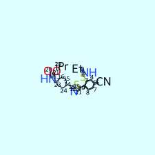 CCNSc1cc(C#N)ccc1-c1cnc(C2CCC(NC(=O)OC(C)C)CC2)s1